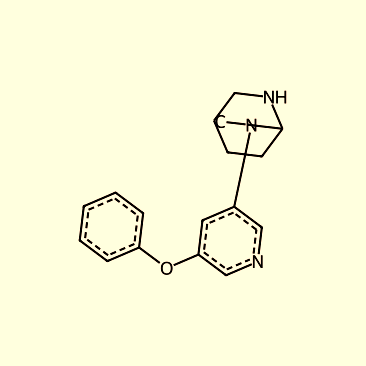 c1ccc(Oc2cncc(N3CC4CCC(C3)NC4)c2)cc1